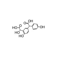 O=C(O)C(O)c1cc(C(C(=O)O)c2ccc(O)cc2)ccc1O